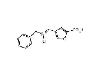 O=S(=O)(O)c1cc(C=[N+]([O-])Cc2ccccc2)co1